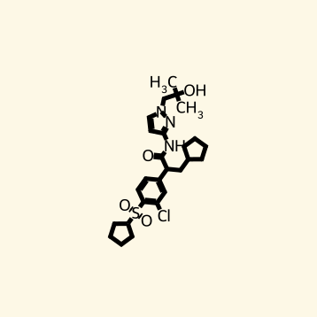 CC(C)(O)Cn1ccc(NC(=O)C(CC2CCCC2)c2ccc(S(=O)(=O)C3CCCC3)c(Cl)c2)n1